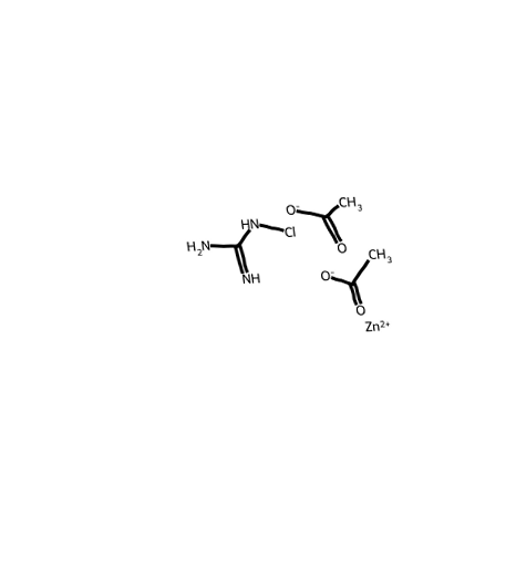 CC(=O)[O-].CC(=O)[O-].N=C(N)NCl.[Zn+2]